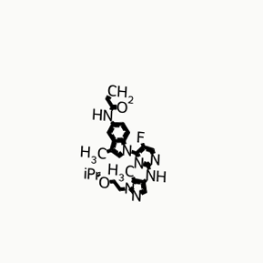 C=CC(=O)Nc1ccc2c(c1)c(C)cn2-c1nc(Nc2cnn(CCOC(C)C)c2C)ncc1F